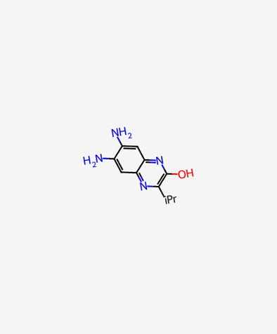 CC(C)c1nc2cc(N)c(N)cc2nc1O